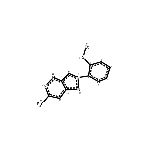 CCSc1cccnc1-n1cc2nnc(C(F)(F)F)cc2n1